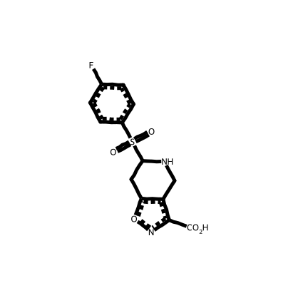 O=C(O)c1noc2c1CNC(S(=O)(=O)c1ccc(F)cc1)C2